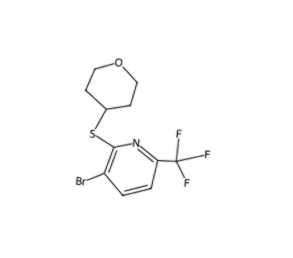 FC(F)(F)c1ccc(Br)c(SC2CCOCC2)n1